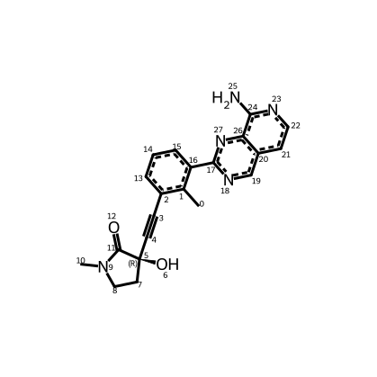 Cc1c(C#C[C@]2(O)CCN(C)C2=O)cccc1-c1ncc2ccnc(N)c2n1